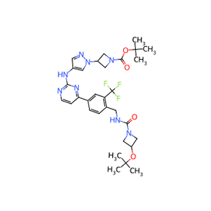 CC(C)(C)OC(=O)N1CC(n2cc(Nc3nccc(-c4ccc(CNC(=O)N5CC(OC(C)(C)C)C5)c(C(F)(F)F)c4)n3)cn2)C1